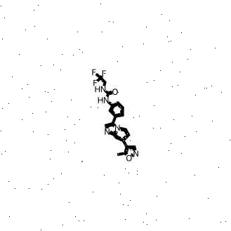 Cc1oncc1-c1ccn2c(-c3cccc(NC(=O)NCC(F)(F)F)c3)cnc2c1